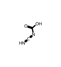 N=C=NC(=O)O